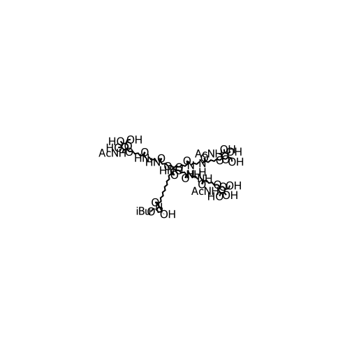 CCC(C)OC[C@@H]1C[C@@H](O)CN1C(=O)CCCCCCCCCCC(=O)NC(COCCC(=O)NCCCNC(=O)CCCCOC1OC(CO)C(O)C(O)C1NC(C)=O)(COCCC(=O)NCCCNC(=O)CCCCOC1OC(CO)C(O)C(O)C1NC(C)=O)COCCC(=O)NCCCNC(=O)CCCCOC1OC(CO)C(O)C(O)C1NC(C)=O